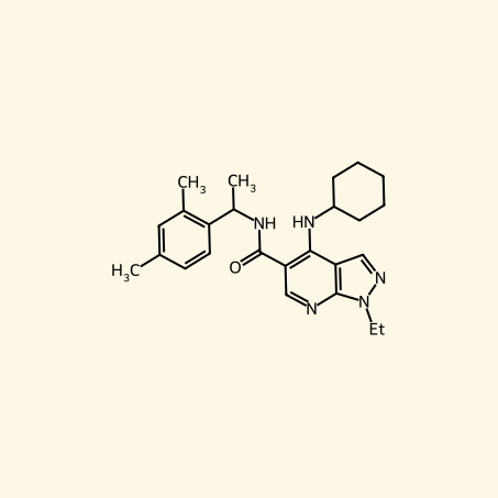 CCn1ncc2c(NC3CCCCC3)c(C(=O)NC(C)c3ccc(C)cc3C)cnc21